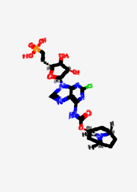 CN1[C@@H]2CC[C@H]1C[C@@H](OC(=O)Nc1nc(Cl)nc3c1ncn3[C@@H]1O[C@H](CCP(=O)(O)O)C(O)[C@@H]1O)C2